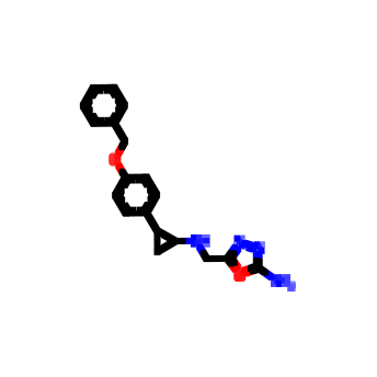 Nc1nnc(CNC2CC2c2ccc(OCc3ccccc3)cc2)o1